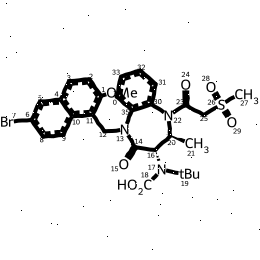 COc1ccc2cc(Br)ccc2c1CN1C(=O)[C@@H](N(C(=O)O)C(C)(C)C)[C@H](C)N(C(=O)CS(C)(=O)=O)c2ccccc21